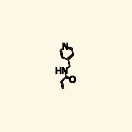 C=CC(=O)NCc1ccncc1